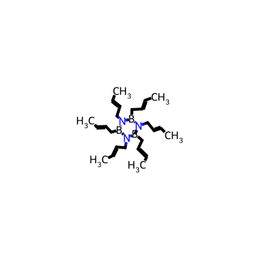 CC=CCB1N(CC=CC)B(CC=CC)N(CC=CC)B(CC=CC)N1CC=CC